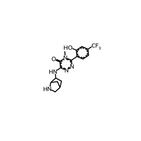 Cn1c(-c2ccc(C(F)(F)F)cc2O)nnc(NC2CC3CNC2C3)c1=O